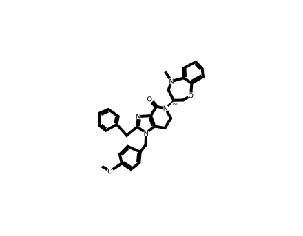 COc1ccc(Cn2c(Cc3ccccc3)nc3c2CCN([C@@H]2COc4ccccc4N(C)C2)C3=O)cc1